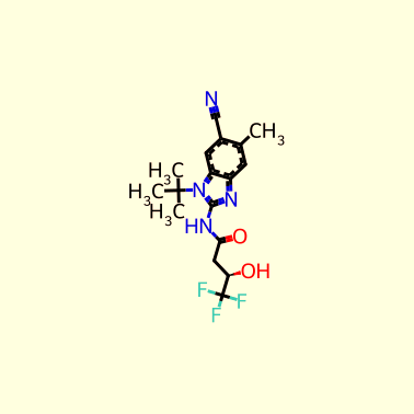 Cc1cc2nc(NC(=O)C[C@@H](O)C(F)(F)F)n(C(C)(C)C)c2cc1C#N